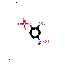 O=[N+]([O-])c1cc([N+](=O)O)ccc1OP(=O)([O-])O